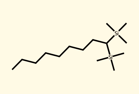 CCCCCCCCC([Si](C)(C)C)[Si](C)(C)C